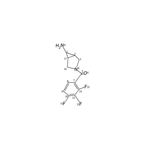 NC1C2CN(C(=O)c3ccc(F)c(F)c3F)CC12